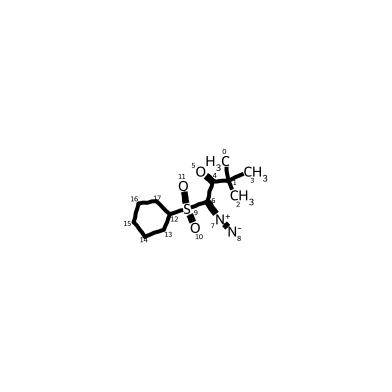 CC(C)(C)C(=O)C(=[N+]=[N-])S(=O)(=O)C1CCCCC1